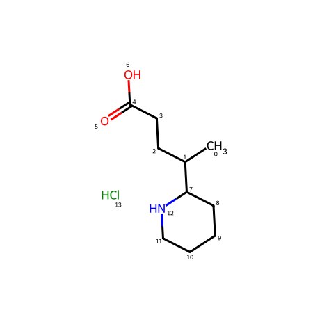 CC(CCC(=O)O)C1CCCCN1.Cl